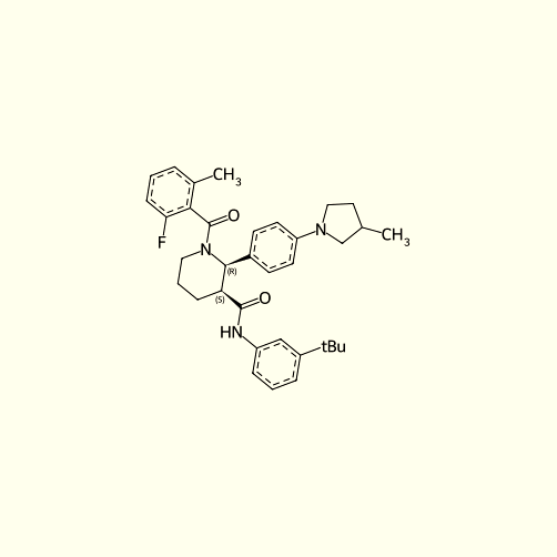 Cc1cccc(F)c1C(=O)N1CCC[C@H](C(=O)Nc2cccc(C(C)(C)C)c2)[C@@H]1c1ccc(N2CCC(C)C2)cc1